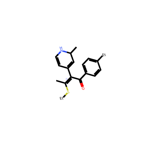 CCS/C(C)=C(\C(=O)c1ccc(CC)cc1)C1=CC(C)NC=C1